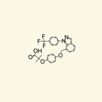 CC(C)(Oc1ccc(OCc2cccc3cnn(-c4ccc(C(F)(F)F)cc4)c23)cc1)C(=O)O